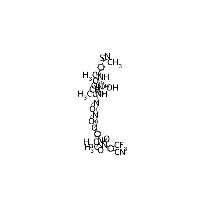 Cc1ncsc1-c1ccc([C@H](C)NC(=O)[C@@H]2C[C@@H](O)CN2C(=O)[C@H]2NC(CN3CCOC(CN4CCO[C@H](COc5ccc(N6C(=O)N(c7ccc(C#N)c(C(F)(F)F)c7)C(=O)C6(C)C)cc5)C4)C3)=CC2(C)C)cc1